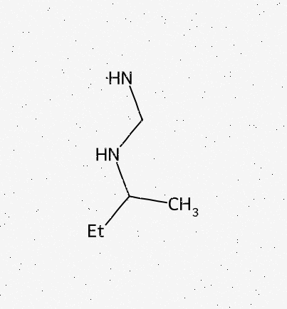 CCC(C)NC[NH]